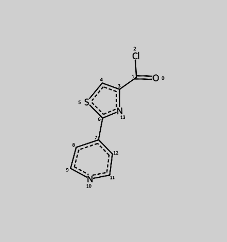 O=C(Cl)c1csc(-c2ccncc2)n1